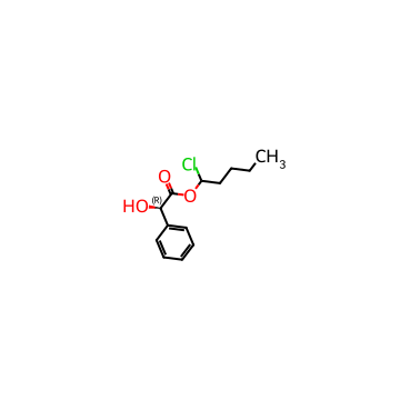 CCCCC(Cl)OC(=O)[C@H](O)c1ccccc1